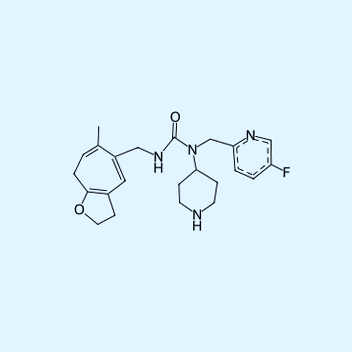 CC1=CCC2=C(C=C1CNC(=O)N(Cc1ccc(F)cn1)C1CCNCC1)CCO2